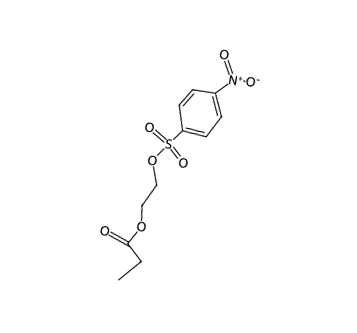 CCC(=O)OCCOS(=O)(=O)c1ccc([N+](=O)[O-])cc1